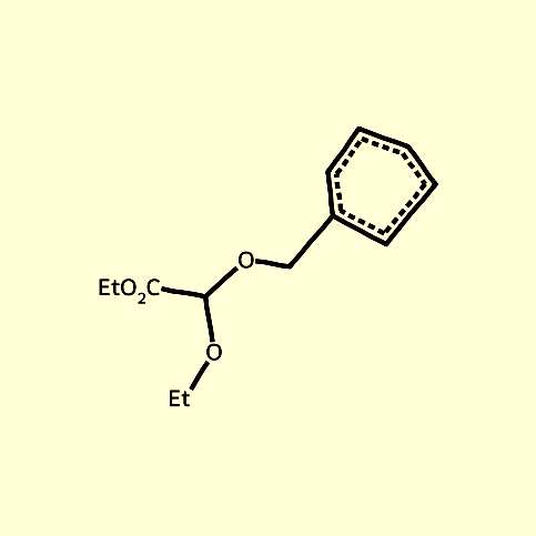 CCOC(=O)C(OCC)OCc1ccccc1